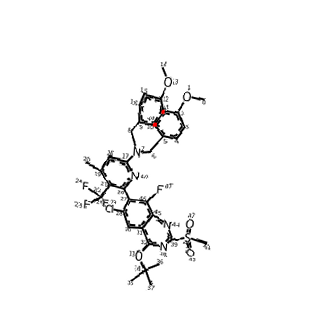 COc1ccc(CN(Cc2ccc(OC)cc2)c2cc(C)c(C(F)(F)F)c(-c3c(Cl)cc4c(OC(C)(C)C)nc(S(C)(=O)=O)nc4c3F)n2)cc1